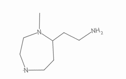 CN1CC[N]CCC1CCN